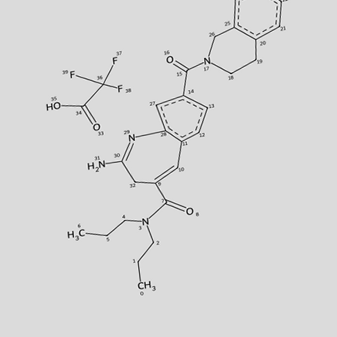 CCCN(CCC)C(=O)C1=Cc2ccc(C(=O)N3CCc4ccccc4C3)cc2N=C(N)C1.O=C(O)C(F)(F)F